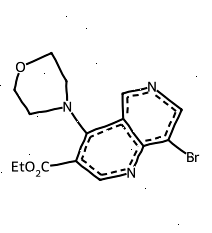 CCOC(=O)c1cnc2c(Br)cncc2c1N1CCOCC1